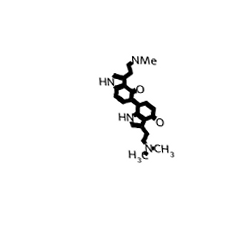 CNCCc1c[nH]c2c1C(=O)C(=C1C=CC(=O)c3c(CCN(C)C)c[nH]c31)C=C2